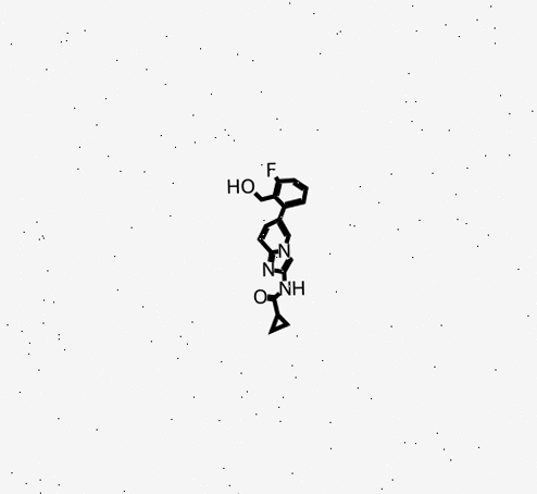 O=C(Nc1cn2cc(-c3cccc(F)c3CO)ccc2n1)C1CC1